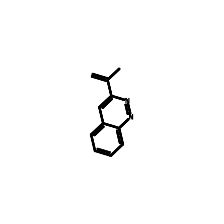 C=C(C)c1cc2ccccc2nn1